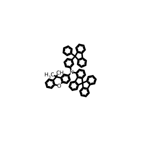 CC1(C)c2ccccc2Oc2ccc(N(c3cccc(C4(c5ccccc5)c5ccccc5-c5ccccc54)c3)c3cccc4c3-c3ccccc3C43c4ccccc4-c4ccccc43)cc21